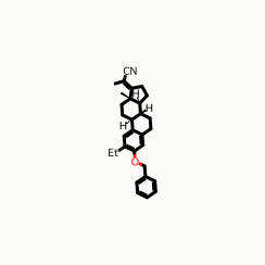 CCc1cc2c(cc1OCc1ccccc1)CC[C@@H]1[C@@H]2CC[C@]2(C)/C(=C(\C)C#N)CC[C@@H]12